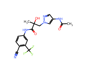 CC(=O)Nc1cnn(CC(C)(O)C(=O)Nc2ccc(C#N)c(C(F)(F)F)c2)c1